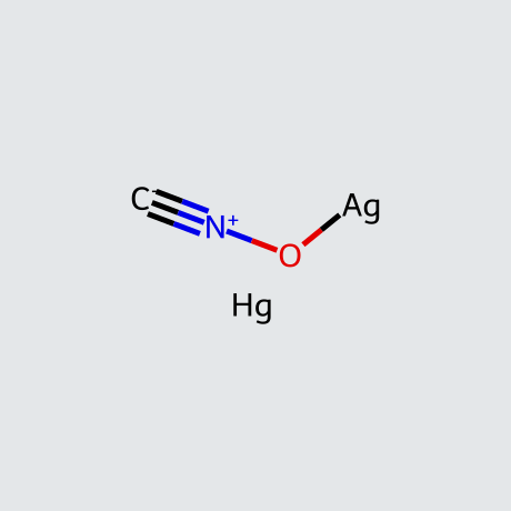 [C-]#[N+][O][Ag].[Hg]